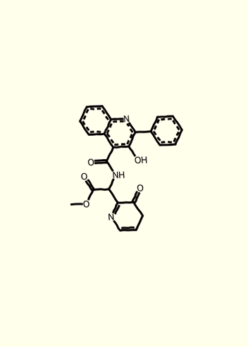 COC(=O)C(NC(=O)c1c(O)c(-c2ccccc2)nc2ccccc12)C1=NC=CCC1=O